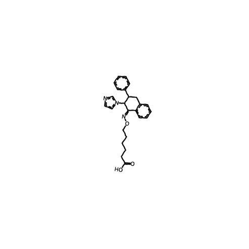 O=C(O)CCCCCON=C1c2ccccc2CC(c2ccccc2)C1n1ccnc1